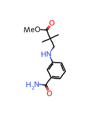 COC(=O)C(C)(C)CNc1cccc(C(N)=O)c1